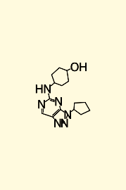 OC1CCC(Nc2ncc3nnn(C4CCCC4)c3n2)CC1